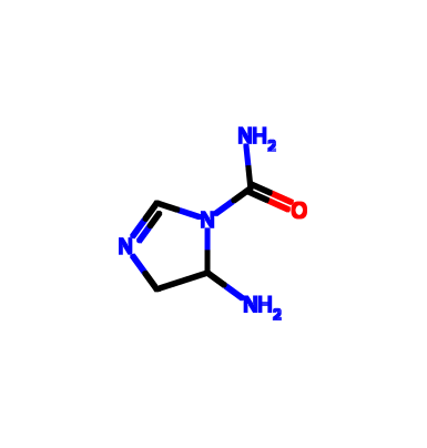 NC(=O)N1C=NCC1N